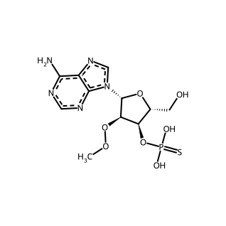 COO[C@@H]1[C@H](OP(O)(O)=S)[C@@H](CO)O[C@H]1n1cnc2c(N)ncnc21